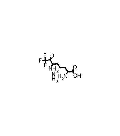 N.NC(CCCC(N)C(=O)C(F)(F)F)C(=O)O